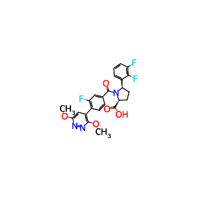 COc1cc(-c2ccc(C(=O)N3[C@@H](c4cccc(F)c4F)CC[C@H]3C(=O)O)cc2F)c(OC)nn1